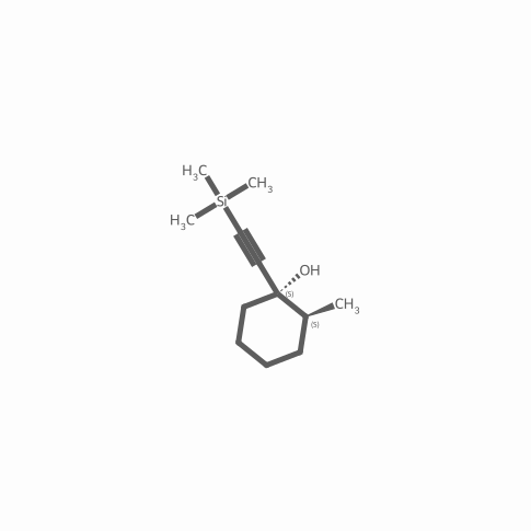 C[C@H]1CCCC[C@@]1(O)C#C[Si](C)(C)C